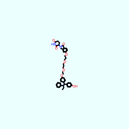 CC/C(=C(\c1ccc(O)cc1)c1ccc(OCCOCCCOCCCOc2ccc3c(c2)CN(C2CCC(=O)NC2=O)C3=O)cc1)c1ccccc1